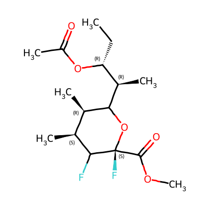 CC[C@@H](OC(C)=O)[C@@H](C)C1O[C@](F)(C(=O)OC)C(F)[C@@H](C)[C@H]1C